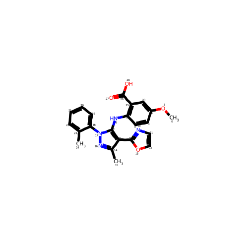 COc1ccc(Nc2c(-c3ncco3)c(C)nn2-c2ccccc2C)c(C(=O)O)c1